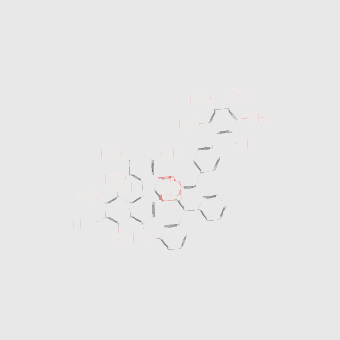 Bc1c(O)c(O)c2c(C3=C(O)C(O)CC(O)=C3O)c(O)c3c(oc4cccc(-c5c6ccccc6c(-c6ccc(-c7c(O)c(O)c(O)c(O)c7O)cc6)c6ccccc56)c43)c2c1O